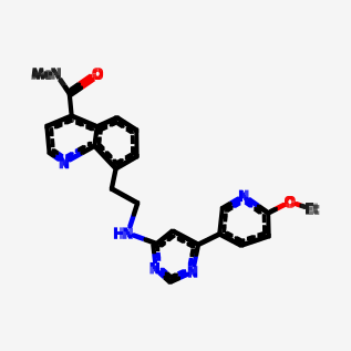 CCOc1ccc(-c2cc(NCCc3cccc4c(C(=O)NC)ccnc34)ncn2)cn1